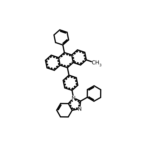 Cc1ccc2c(C3=CC=CCC3)c3ccccc3c(-c3ccc(-n4c(C5=CCCC=C5)nc5c4C=CCC5)cc3)c2c1